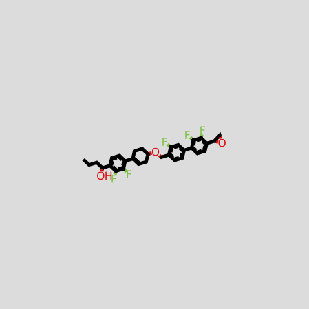 CCCC(O)c1ccc(C2=CCC(OCc3ccc(-c4ccc(C5CO5)c(F)c4F)cc3F)CC2)c(F)c1F